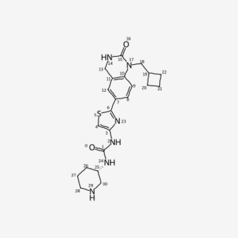 O=C(Nc1csc(-c2ccc3c(c2)CNC(=O)N3CC2CCC2)n1)N[C@H]1CCCNC1